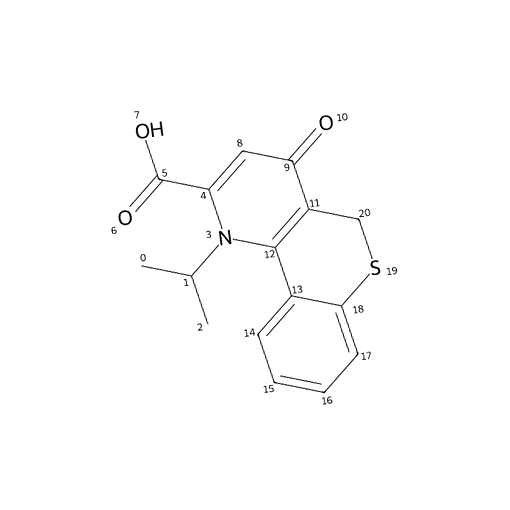 CC(C)n1c(C(=O)O)cc(=O)c2c1-c1ccccc1SC2